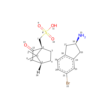 CC1(C)[C@@H]2CC[C@@]1(CS(=O)(=O)O)C(=O)C2.N[C@@H]1Cc2ccc(Br)cc2C1